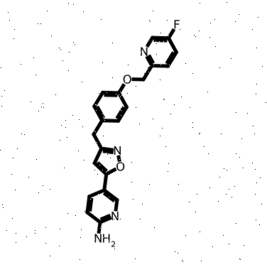 Nc1ccc(-c2cc(Cc3ccc(OCc4ccc(F)cn4)cc3)no2)cn1